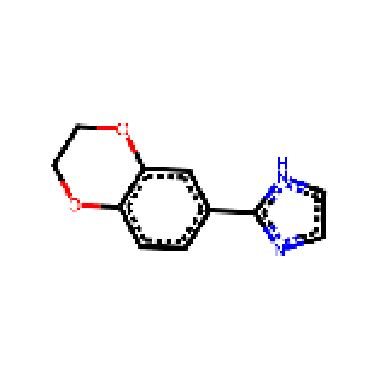 c1c[nH]c(-c2ccc3c(c2)OCCO3)n1